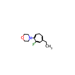 CCC1=CCC=C(N2CCOCC2)C(F)=C1